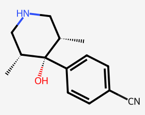 C[C@@H]1CNC[C@H](C)[C@@]1(O)c1ccc(C#N)cc1